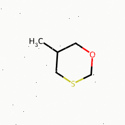 CC1CO[CH]SC1